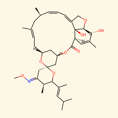 CO/N=C1\C[C@]2(C[C@@H]3C[C@@H](C/C=C(\C)C[C@@H](C)C=CC=C4CO[C@@H]5[C@H](O)C(C)=C[C@@H](C(=O)O3)[C@]45O)O2)OC(/C(C)=C/C(C)C)[C@H]1C